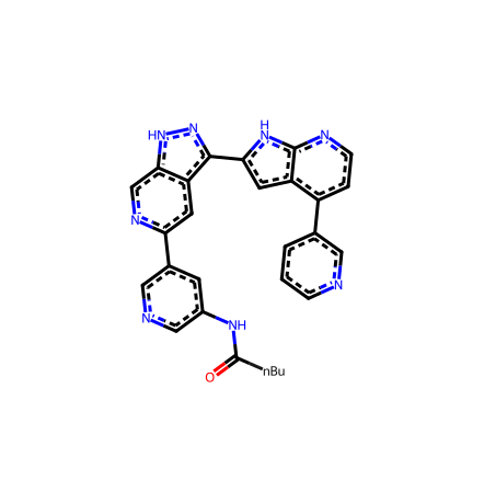 CCCCC(=O)Nc1cncc(-c2cc3c(-c4cc5c(-c6cccnc6)ccnc5[nH]4)n[nH]c3cn2)c1